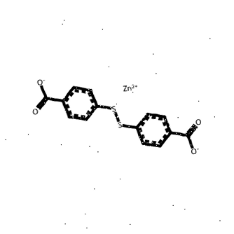 O=C([O-])c1ccc(SSc2ccc(C(=O)[O-])cc2)cc1.[Zn+2]